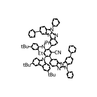 CCc1cc(C(C)(C)C)ccc1N(c1cc(-n2c3ccc(C(C)(C)C)cc3c3cc(C(C)(C)C)ccc32)c(-c2ccc3nc4n(-c5ccccc5)c5ccc(-c6ccccc6)cc5n4c3c2)c(C#N)c1-c1ccc2nc3n(-c4ccccc4)c4ccc(-c5ccccc5)cc4n3c2c1)C(C)C